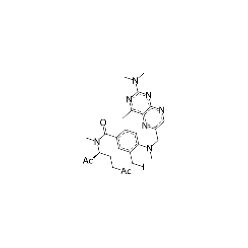 CC(=O)CC[C@@H](C(C)=O)N(C)C(=O)c1ccc(N(C)Cc2cnc3nc(N(C)C)nc(C)c3n2)c(CI)c1